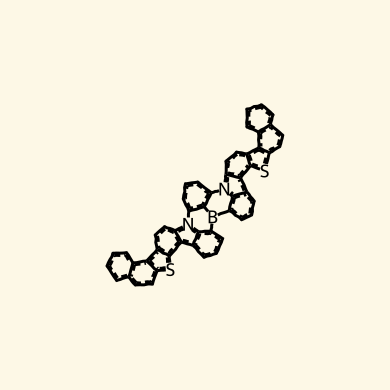 c1cc2c3c(c1)-n1c4ccc5c(sc6ccc7ccccc7c65)c4c4cccc(c41)B3c1cccc3c4c5sc6ccc7ccccc7c6c5ccc4n-2c13